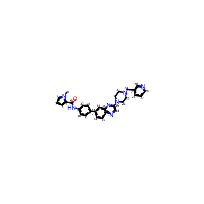 Cn1cccc1C(=O)Nc1ccc(-c2ccc3ncc(N4CCN(Cc5cccnc5)CC4)nc3c2)cc1